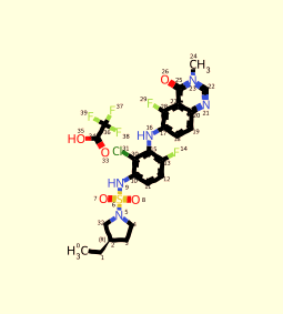 CC[C@@H]1CCN(S(=O)(=O)Nc2ccc(F)c(Nc3ccc4ncn(C)c(=O)c4c3F)c2Cl)C1.O=C(O)C(F)(F)F